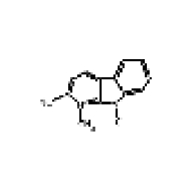 Cn1c2ccccc2c2ccc(C#N)[n+](C)c21